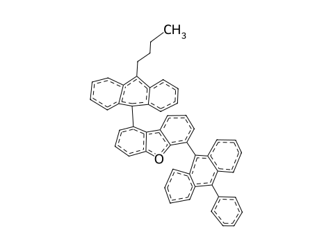 CCCCc1c2ccccc2c(-c2cccc3oc4c(-c5c6ccccc6c(-c6ccccc6)c6ccccc56)cccc4c23)c2ccccc12